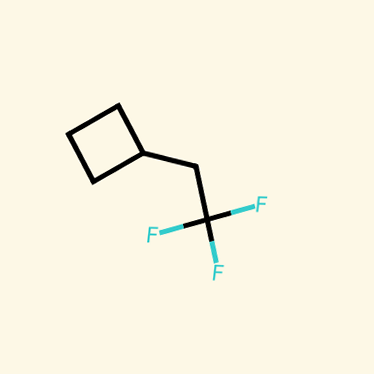 FC(F)(F)CC1CCC1